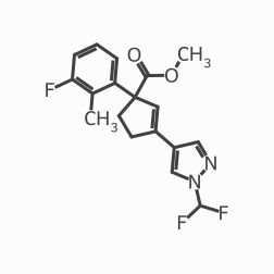 COC(=O)C1(c2cccc(F)c2C)C=C(c2cnn(C(F)F)c2)CC1